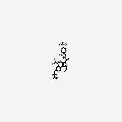 CCn1nc(C(=O)NC[C@]2(O)CC[C@@H](S(C)(=O)=O)CC2)c(Cl)c1-c1cnc(CC(C)(C)C(F)F)cc1OC(F)F